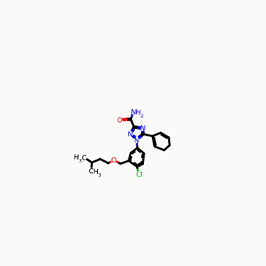 CC(C)CCOCc1cc(-n2nc(C(N)=O)nc2C2=CCCC=C2)ccc1Cl